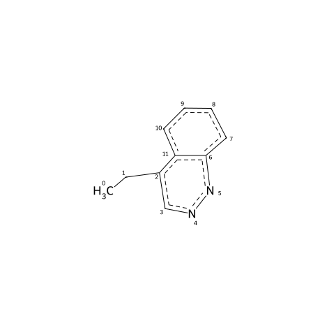 CCc1cnnc2ccccc12